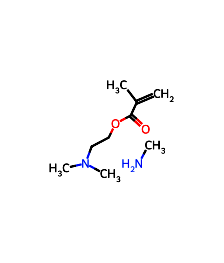 C=C(C)C(=O)OCCN(C)C.CN